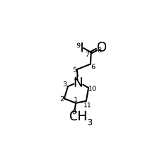 CC1CCN(CCC(=O)I)CC1